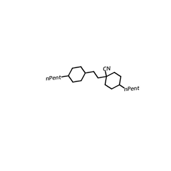 CCCCCC1CCC(CCC2(C#N)CCC(CCCCC)CC2)CC1